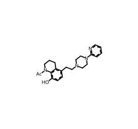 CC(=O)N1CCCc2c(CCN3CCN(c4ccccn4)CC3)ccc(O)c21